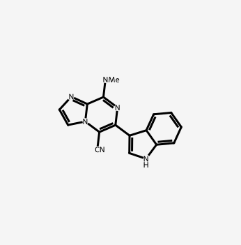 CNc1nc(-c2c[nH]c3ccccc23)c(C#N)n2ccnc12